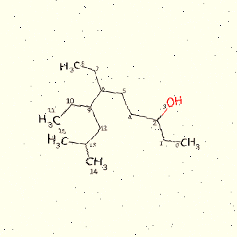 CCC(O)CCC(CC)C(CC)CC(C)C